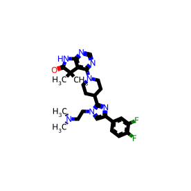 CN(C)CCn1cc(-c2ccc(F)c(F)c2)nc1C1CCN(c2ncnc3c2C(C)(C)C(=O)N3)CC1